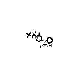 CC1CC(n2c(=O)[nH]c3ccccc32)CCN1C(=O)OC(C)(C)C